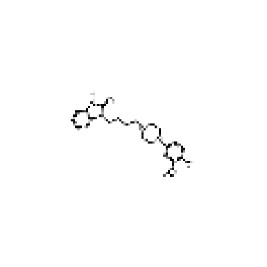 COc1cc(N2CCN(CCCCC3C(=O)Nc4ccccc43)CC2)ccc1Cl